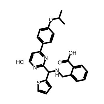 CC(C)Oc1ccc(-c2ccnc(C(NCc3ccccc3C(=O)O)c3cccs3)n2)cc1.Cl